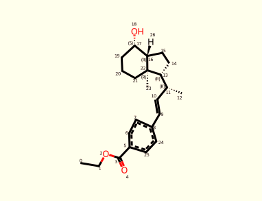 CCOC(=O)c1ccc(C=C[C@@H](C)[C@H]2CC[C@H]3[C@@H](O)CCC[C@]23C)cc1